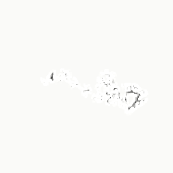 NCCCCCCCCC(C(=O)OCc1ccccc1)C1CCCC1